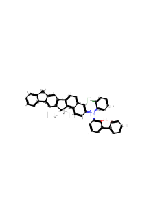 CC1(C)c2ccccc2-c2cc3c(cc21)-c1ccc2cc(N(c4ccccc4F)c4cccc5c4oc4ccccc45)ccc2c1C3(C)C